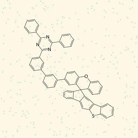 c1ccc(-c2nc(-c3ccccc3)nc(-c3cccc(-c4cccc(-c5ccc6c(c5)C5(c7ccccc7O6)c6ccccc6-c6cc7sc8ccccc8c7cc65)c4)c3)n2)cc1